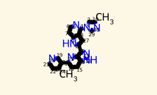 Cc1cn(-c2nccc3[nH]c(-c4n[nH]c5ccc(-c6cnccc6C)nc45)cc23)cn1